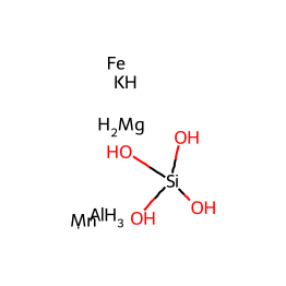 O[Si](O)(O)O.[AlH3].[Fe].[KH].[MgH2].[Mn]